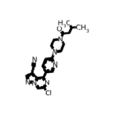 CC(C)CC(=O)N1CCN(c2ccc(-c3nc(Cl)cn4ncc(C#N)c34)cn2)CC1